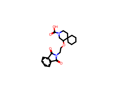 O=C(O)N1CCC2(CCCCC2)C(OCCN2C(=O)c3ccccc3C2=O)C1